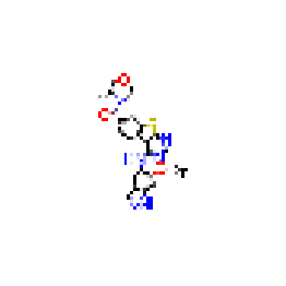 CC(C)Oc1cc2[nH]ncc2cc1Nc1ncnc2sc3c(c12)CC[C@H](C(=O)N1CCOC[C@H]1C)C3